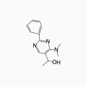 CC(O)c1cnc(-c2ccccc2)nc1N(C)C